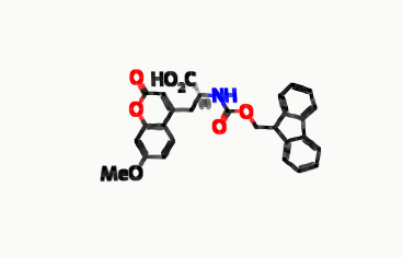 COc1ccc2c(C[C@@H](NC(=O)OCC3c4ccccc4-c4ccccc43)C(=O)O)cc(=O)oc2c1